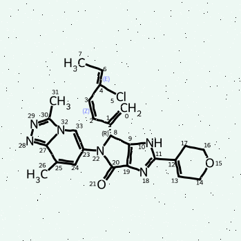 C=C(/C=C\C(Cl)=C/C)[C@@H]1c2[nH]c(C3=CCOCC3)nc2C(=O)N1c1cc(C)c2nnc(C)n2c1